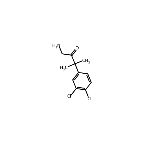 CC(C)(C(=O)CN)c1ccc(Cl)c(Cl)c1